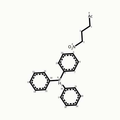 CC(=O)CCC[N+](=O)[O-].c1ccc([PH2](c2ccccc2)c2ccccc2)cc1